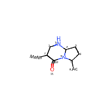 CNC1CNC2CCC(C(C)=O)N2C1=O